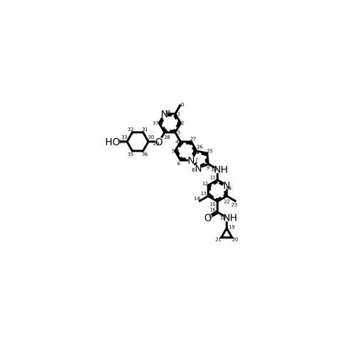 Cc1cc(-c2ccn3nc(Nc4cc(C)c(C(=O)NC5CC5)c(C)n4)cc3c2)c(OC2CCC(O)CC2)cn1